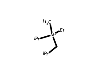 CC[N+](C)(CC(C)C)C(C)C